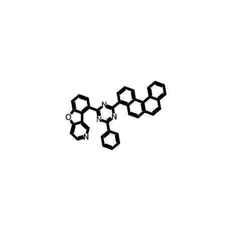 c1ccc(-c2nc(-c3cccc4c3ccc3ccc5ccccc5c34)nc(-c3cccc4oc5ccncc5c34)n2)cc1